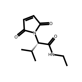 CCNC(=O)[C@H](C(C)C)N1C(=O)C=CC1=O